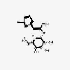 Cc1cccc(/C=C(/O[C@H]2O[C@H](CO)[C@H](O)[C@@H](O)[C@H]2O)C(=O)O)c1